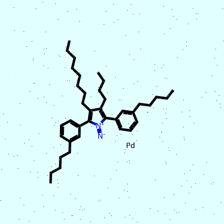 CCCCCCCCC1=C(c2cccc(CCCCC)c2)[N+](=[N-])C(c2cccc(CCCCC)c2)=C1CCCC.[Pd]